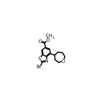 COC(=O)c1cc(C2CCCOCC2)c2nc(Br)sc2c1